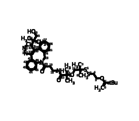 C=C(OCCSSC(C)(C)COC(C)(C)C(=O)NCCC(=O)N1Cc2ccccc2/C(CC(C)(C)CO)=C(/N=N\C)c2ccccc21)C(C)(C)C